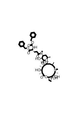 CC[C@H]1OC(=O)[C@H](C)[C@@H](O)[C@H](C)[C@@H](O[C@H]2O[C@H](C)C[C@@H](N(C)C(=O)CC[C@@H](NC(=O)OCc3ccccc3)C(=O)OCc3ccccc3)[C@H]2O)[C@](C)(O)C[C@@H](C)CN(C)[C@H](C)[C@@H](O)[C@]1(C)O